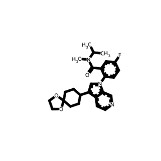 CC(C)N(C)C(=O)c1cc(F)ccc1-n1cc(C2CCC3(CC2)OCCO3)c2ccncc21